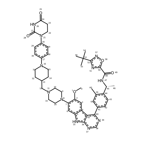 COc1cc2c(cc1N1CCN(CC3CCN(c4ccc(N5CCC(=O)NC5=O)cc4)CC3)CC1)[nH]c1ncnc(-c3ccc([C@@H](C)NC(=O)c4nc(C(C)(C)C)no4)c(C)c3)c12